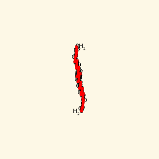 C=CC(=O)OCCCCOC(=O)/C=C/c1ccc(C(=O)Oc2ccc(C(=O)Oc3ccc(C(=O)OC4CO[C@@H]5[C@@H](OC(=O)c6ccc(OC(=O)c7ccc(/C=C/C(=O)OCCCCOC(=O)C=C)cc7)cc6)CO[C@H]45)cc3)cc2)cc1